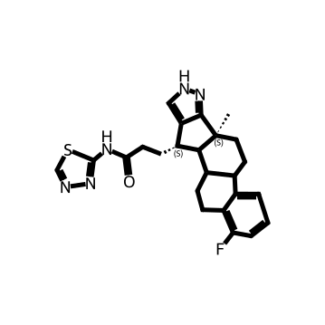 C[C@]12CCC3c4cccc(F)c4CCC3C1[C@H](CCC(=O)Nc1nncs1)c1c[nH]nc12